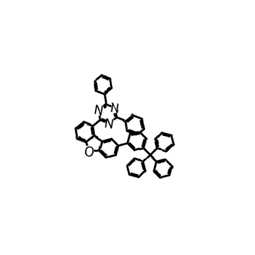 c1ccc(-c2nc(-c3ccccc3)nc(-c3cccc4oc5ccc(-c6cccc(C(c7ccccc7)(c7ccccc7)c7ccccc7)c6)cc5c34)n2)cc1